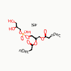 CCCCCCCCCCCC(=O)OC[C@H](COP(=O)(O)OCC(O)CO)OC(=O)CCCCCCCCCCC.[Na]